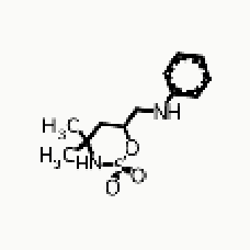 CC1(C)CC(CNc2ccccc2)OS(=O)(=O)N1